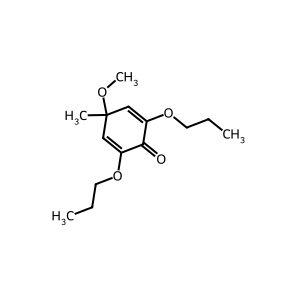 CCCOC1=CC(C)(OC)C=C(OCCC)C1=O